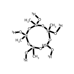 [3H]O[SiH]1O[Si](C)(O[3H])O[Si](C)(O[3H])O[Si](C)(O[3H])O[Si](C)(O[3H])O1